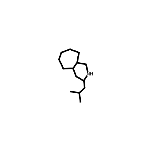 CC(C)CC1CC2CCCCCC2CN1